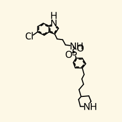 O=S(=O)(NCCCc1c[nH]c2ccc(Cl)cc12)c1ccc(CCCCC2CCNCC2)cc1